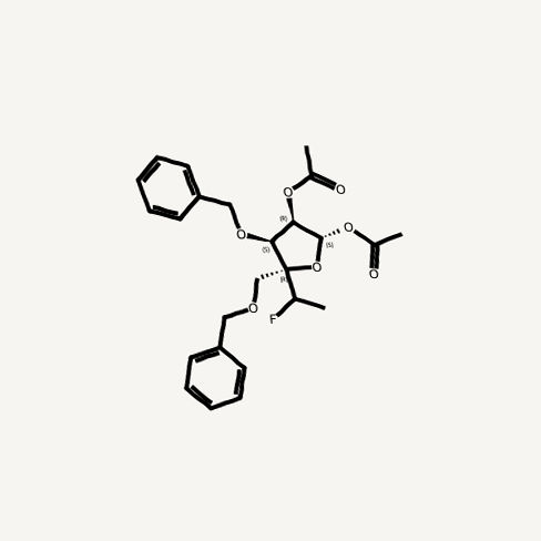 CC(=O)O[C@@H]1O[C@@](COCc2ccccc2)(C(C)F)[C@@H](OCc2ccccc2)[C@H]1OC(C)=O